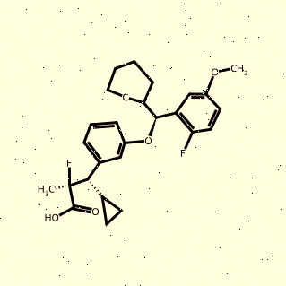 COc1ccc(F)c([C@@H](Oc2cccc([C@H](C3CC3)[C@](C)(F)C(=O)O)c2)C2CCCCC2)c1